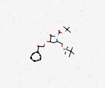 CC(C)(C)OC(=O)N1C(=O)C(OCC(=O)c2ccccc2)CC1CO[Si](C)(C)C(C)(C)C